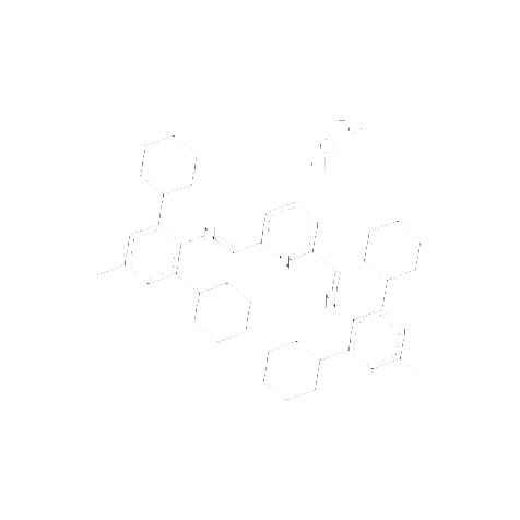 Cc1cc(C2CCCCC2)c(N=Cc2cccc(C=Nc3c(C4CCCCC4)cc(C)cc3C3CCCCC3)n2)c(C2CCCCC2)c1.[Cl-].[Cl-].[Fe+2]